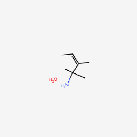 CC=C(C)C(C)(C)N.O